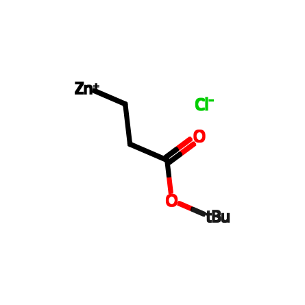 CC(C)(C)OC(=O)C[CH2][Zn+].[Cl-]